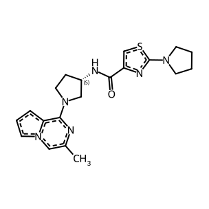 Cc1cn2cccc2c(N2CC[C@H](NC(=O)c3csc(N4CCCC4)n3)C2)n1